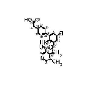 Cc1cncc(S(=O)(=O)Nc2c(F)cc(Cl)cc2-c2ccc(CC(=O)O)cc2)c1C